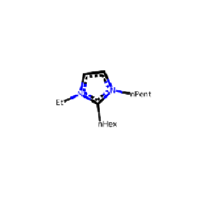 CCCCCCc1n(CCCCC)cc[n+]1CC